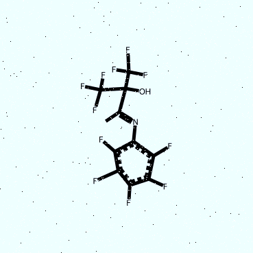 CC(=Nc1c(F)c(F)c(F)c(F)c1F)C(O)(C(F)(F)F)C(F)(F)F